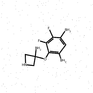 Bc1cc(B)c(OC2(B)CNC2)c(F)c1F